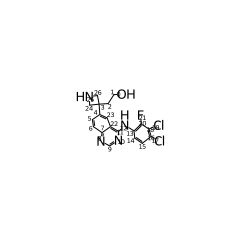 OCCC1(c2ccc3ncnc(Nc4ccc(Cl)c(Cl)c4F)c3c2)CNC1